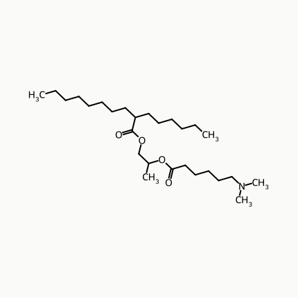 CCCCCCCCC(CCCCCC)C(=O)OCC(C)OC(=O)CCCCCN(C)C